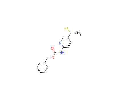 CC(S)c1ccc(NC(=O)OCc2ccccc2)nc1